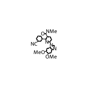 CNC(=O)c1ccc(-n2cnc3cc(OC)c(OC)cc32)nc1-c1cccc(C#N)c1